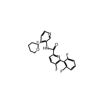 O=C(Nc1cnccc1[C@H]1CCCCO1)c1ccc(F)c(-c2c(F)cccc2F)n1